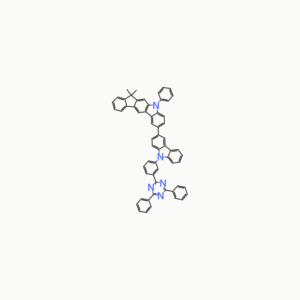 CC1(C)c2ccccc2-c2cc3c4cc(-c5ccc6c(c5)c5ccccc5n6-c5cccc(-c6nc(-c7ccccc7)nc(-c7ccccc7)n6)c5)ccc4n(-c4ccccc4)c3cc21